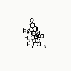 CC1(C)OC2C[C@H]3[C@@H]4CCC5=CC(=O)CC[C@]5(C)C4(F)[C@@H](O)C[C@]3(C)[C@]2(C(=O)CCl)O1